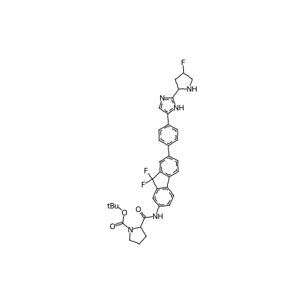 CC(C)(C)OC(=O)N1CCCC1C(=O)Nc1ccc2c(c1)C(F)(F)c1cc(-c3ccc(-c4cnc(C5CC(F)CN5)[nH]4)cc3)ccc1-2